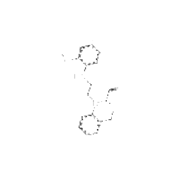 COc1ccccc1NCCN1c2ccccc2COC1C=O